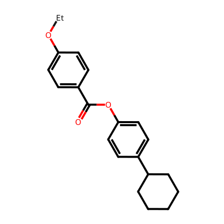 CCOc1ccc(C(=O)Oc2ccc(C3CCCCC3)cc2)cc1